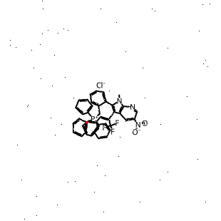 Cn1c(-c2ccccc2C[P+](c2ccccc2)(c2ccccc2)c2ccccc2)c(C(=Cc2ccccc2)C(F)(F)F)c2cc([N+](=O)[O-])cnc21.[Cl-]